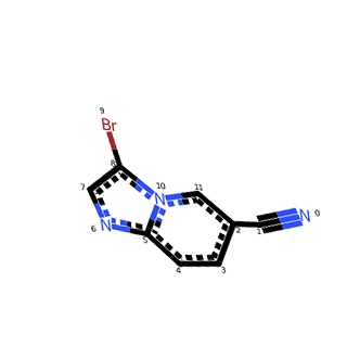 N#Cc1ccc2ncc(Br)n2c1